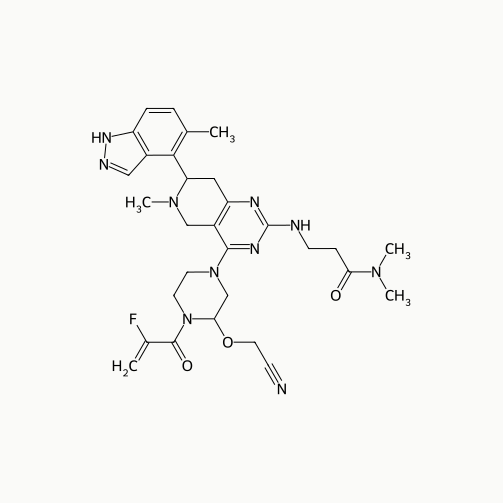 C=C(F)C(=O)N1CCN(c2nc(NCCC(=O)N(C)C)nc3c2CN(C)C(c2c(C)ccc4[nH]ncc24)C3)CC1OCC#N